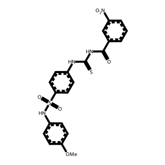 COc1ccc(NS(=O)(=O)c2ccc(NC(=S)NC(=O)c3cccc([N+](=O)[O-])c3)cc2)cc1